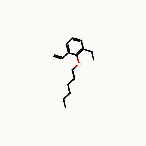 [CH]=Cc1cc[c]c(CC)c1OCCCCCC